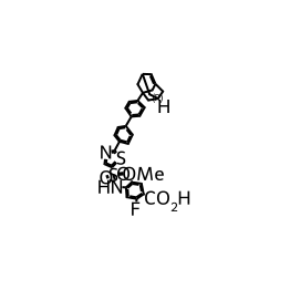 COc1cc(C(=O)O)c(F)cc1NS(=O)(=O)c1cnc(-c2ccc(-c3ccc(C45CC6=CC(C[C@H](C6)C4)C5)cc3)cc2)s1